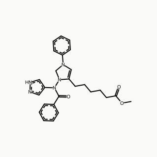 COC(=O)CCCCCC1=CN(c2ccccc2)CN1N(C(=O)c1ccccc1)c1cn[nH]c1